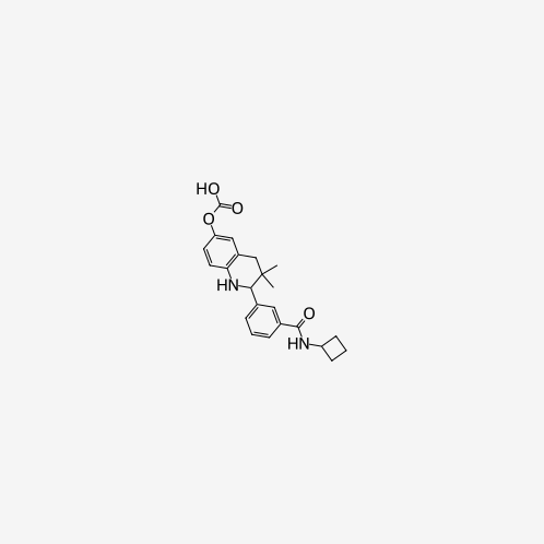 CC1(C)Cc2cc(OC(=O)O)ccc2NC1c1cccc(C(=O)NC2CCC2)c1